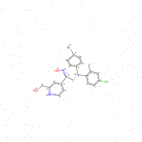 Cc1cc(Cl)ccc1[C@H](C/C(=N/O)c1ccnc(CO)c1)c1ccc(Br)cc1